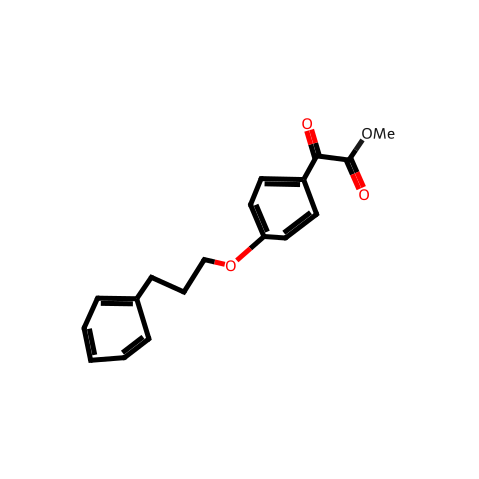 COC(=O)C(=O)c1ccc(OCCCc2ccccc2)cc1